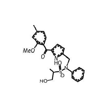 COc1cc(C)ccc1C(=O)c1ccc(CN(c2ccccc2)S(=O)(=O)C(C)CO)[nH]1